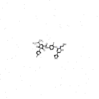 CC(C)n1cc(C(=O)Nc2ccc(OC3=CC(c4cnsc4)=CN/C3=C\C=N)c(F)c2)c(=O)n(-c2ccc(F)cc2)c1=O